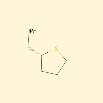 CC(C)C[C@H]1CCCS1